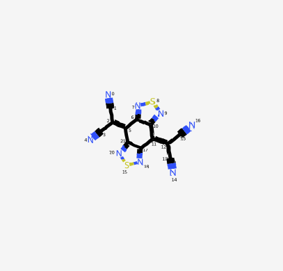 N#CC(C#N)=c1c2nsnc2c(=C(C#N)C#N)c2nsnc12